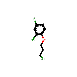 Fc1ccc(OCCCCl)c(Cl)c1